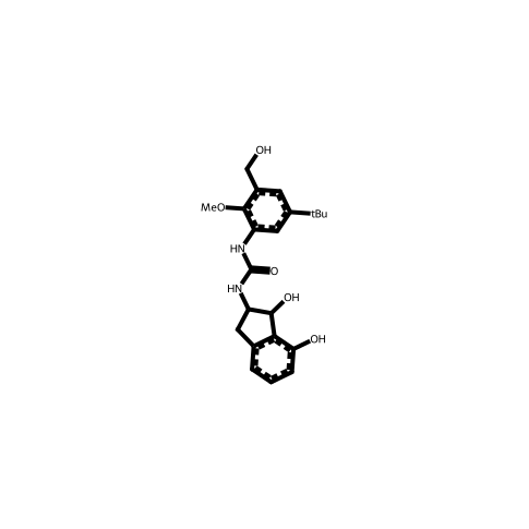 COc1c(CO)cc(C(C)(C)C)cc1NC(=O)NC1Cc2cccc(O)c2C1O